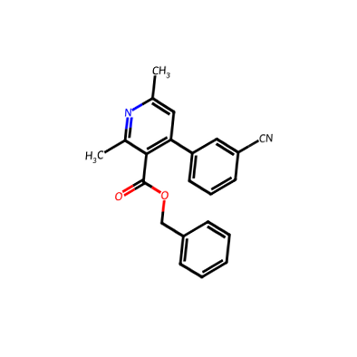 Cc1cc(-c2cccc(C#N)c2)c(C(=O)OCc2ccccc2)c(C)n1